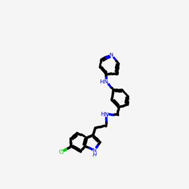 Clc1ccc2c(CCNCc3cccc(Nc4ccncc4)c3)c[nH]c2c1